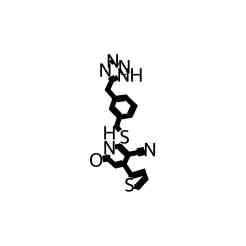 N#Cc1c(-c2cccs2)cc(=O)[nH]c1SCc1cccc(Cc2nnn[nH]2)c1